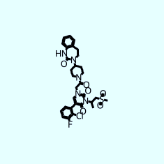 CC(CS(C)(=O)=O)n1c(=O)c(-c2cccc(F)c2Cl)cn(CC(=O)N2CCC(N3CCc4ccccc4NC3=O)CC2)c1=O